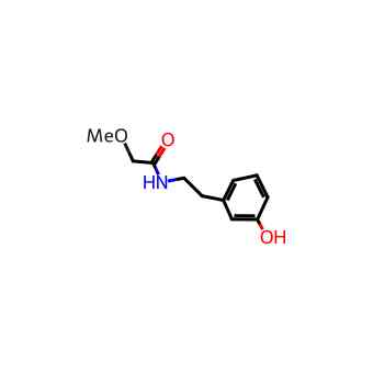 COCC(=O)NCCc1cccc(O)c1